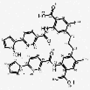 Cn1cccc1-c1ccc(C(=O)Nc2cc(CCCc3cc(NC(=O)c4ccc(-n5ccnc5)nn4)c(C(=O)O)cc3F)c(F)cc2C(=O)O)nn1